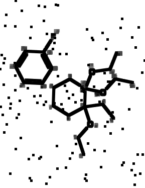 CCOC1(CC)CCCC[Si]1(OCC)OCC.Fc1ccccc1